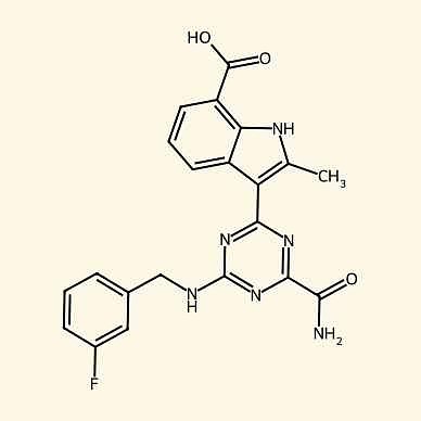 Cc1[nH]c2c(C(=O)O)cccc2c1-c1nc(NCc2cccc(F)c2)nc(C(N)=O)n1